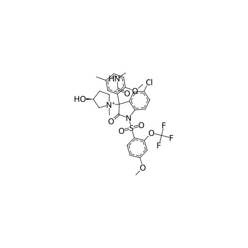 CNC(=O)[C@H]1C[C@H](O)C[N+]1(C)C1(c2cc(C)ccc2OC)C(=O)N(S(=O)(=O)c2ccc(OC)cc2OC(F)(F)F)c2ccc(Cl)cc21